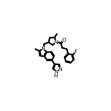 Cc1cc2cc(-c3cn[nH]c3)ccc2n1CC1CC(C)N(C(=O)CCc2ccccc2F)C1